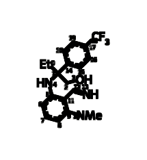 CCC(CO)(Nc1cccc(NC)c1C=N)c1ccc(C(F)(F)F)cc1